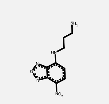 NCCCNc1ccc([N+](=O)[O-])c2nonc12